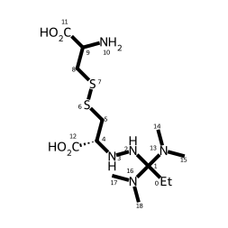 CCC(NN[C@@H](CSSCC(N)C(=O)O)C(=O)O)(N(C)C)N(C)C